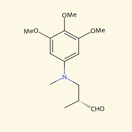 COc1cc(N(C)C[C@@H](C)C=O)cc(OC)c1OC